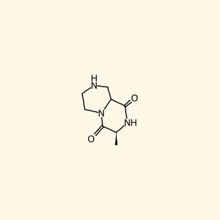 C[C@@H]1NC(=O)C2CNCCN2C1=O